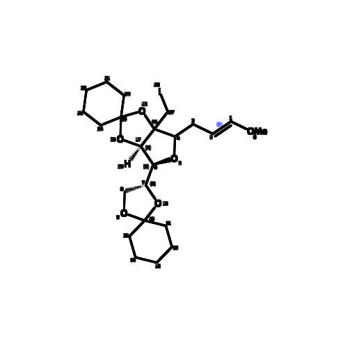 CO/C=C/CC1O[C@@H]([C@H]2COC3(CCCCC3)O2)[C@H]2OC3(CCCCC3)OC12CI